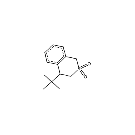 CC(C)(C)C1CS(=O)(=O)Cc2ccccc21